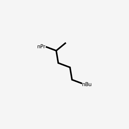 [CH2]CCCCCCC(C)CC[CH2]